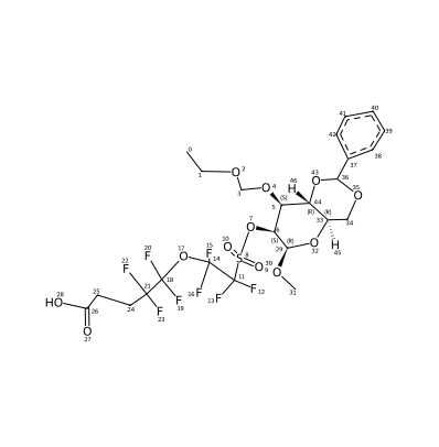 CCOCO[C@@H]1[C@H](OS(=O)(=O)C(F)(F)C(F)(F)OC(F)(F)C(F)(F)CCC(=O)O)[C@H](OC)O[C@@H]2COC(c3ccccc3)O[C@@H]12